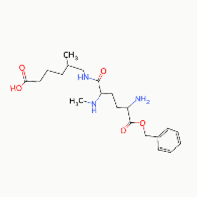 CNC(CCC(N)C(=O)OCc1ccccc1)C(=O)NCC(C)CCCC(=O)O